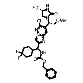 COC[C@H](c1cc2nc(C(NC(=O)OCc3ccccc3)C3CCC(F)(F)CC3)cn2nc1Cl)N1C[C@@H](C(F)(F)F)NC1=O